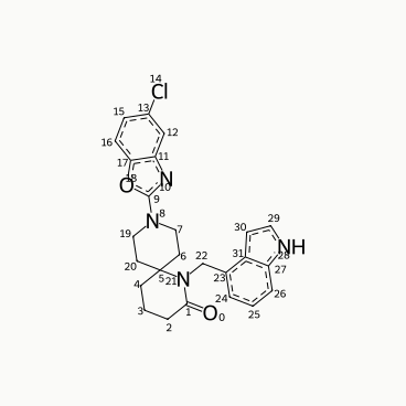 O=C1CCCC2(CCN(c3nc4cc(Cl)ccc4o3)CC2)N1Cc1cccc2[nH]ccc12